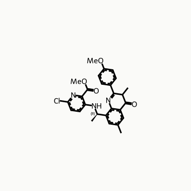 COC(=O)c1nc(Cl)ccc1N[C@H](C)c1cc(C)cc2c1N=C(c1ccc(OC)cc1)C(C)C2=O